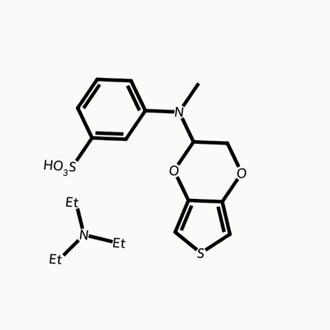 CCN(CC)CC.CN(c1cccc(S(=O)(=O)O)c1)C1COc2cscc2O1